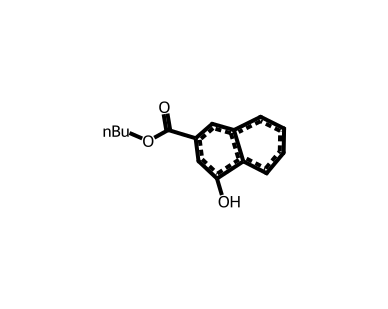 CCCCOC(=O)c1cc(O)c2ccccc2c1